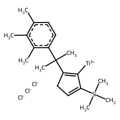 Cc1ccc(C(C)(C)C2=[C]([Ti+3])C([Si](C)(C)C)=CC2)c(C)c1C.[Cl-].[Cl-].[Cl-]